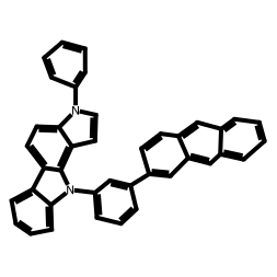 c1ccc(-n2ccc3c2ccc2c4ccccc4n(-c4cccc(-c5ccc6cc7ccccc7cc6c5)c4)c23)cc1